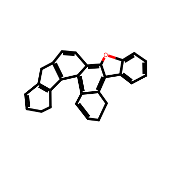 C1=CC2=C(CC1)c1c(ccc3c1c1c(c4c5ccccc5oc34)CCC=C1)C2